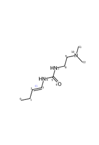 CC/C=C/NC(=O)NCCN(C)C